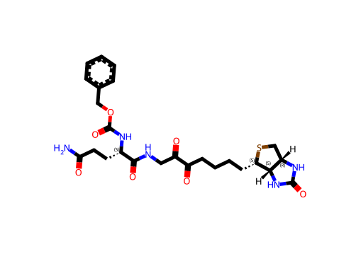 NC(=O)CC[C@H](NC(=O)OCc1ccccc1)C(=O)NCC(=O)C(=O)CCCC[C@@H]1SC[C@@H]2NC(=O)N[C@@H]21